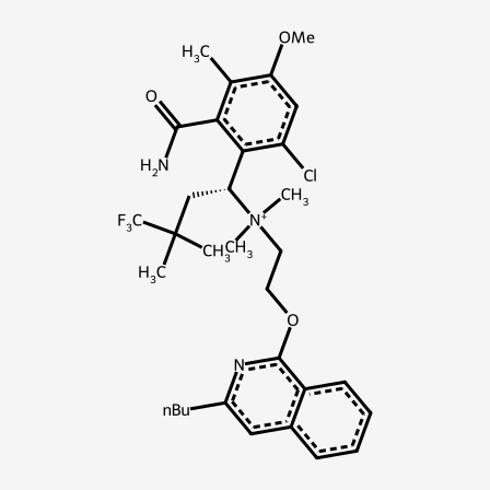 CCCCc1cc2ccccc2c(OCC[N+](C)(C)[C@H](CC(C)(C)C(F)(F)F)c2c(Cl)cc(OC)c(C)c2C(N)=O)n1